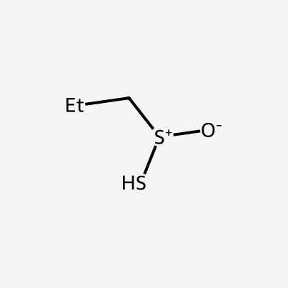 CCC[S+]([O-])S